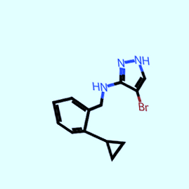 Brc1c[nH]nc1NCc1ccccc1C1CC1